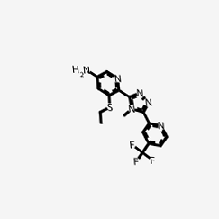 CCSc1cc(N)cnc1-c1nnc(-c2cc(C(F)(F)F)ccn2)n1C